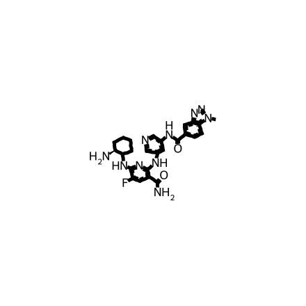 Cn1nnc2cc(C(=O)Nc3cncc(Nc4nc(NC5CCCC[C@@H]5N)c(F)cc4C(N)=O)c3)ccc21